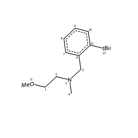 COCCN(C)Cc1ccccc1C(C)(C)C